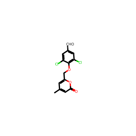 Cc1cc(COc2c(Cl)cc(C=O)cc2Cl)oc(=O)c1